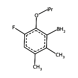 Bc1c(C)c(C)cc(F)c1OC(C)C